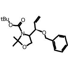 C=C[C@@H](OCc1ccccc1)C1COC(C)(C)N1C(=O)OC(C)(C)C